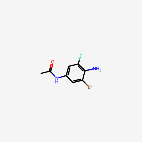 CC(=O)Nc1cc(F)c(N)c(Br)c1